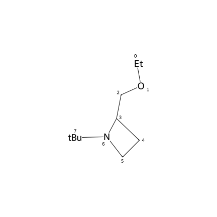 CCOCC1CCN1C(C)(C)C